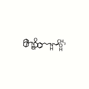 C/C(O)=C\CNCCCc1ccc(Cl)c(C(=O)NCC23CC4CC(CC(C4)C2)C3)c1